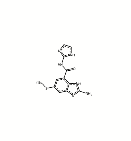 CCCCSc1cc(C(=O)Nc2ncc[nH]2)c2[nH]c(N)nc2c1